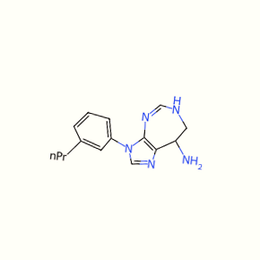 CCCc1cccc(-n2cnc3c2N=CNCC3N)c1